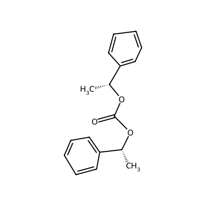 C[C@@H](OC(=O)O[C@H](C)c1ccccc1)c1ccccc1